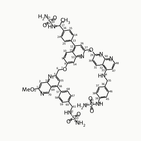 COc1cc2nc(COc3ccc4c(-c5ccc(C(C)NS(N)(=O)=O)cc5)cc(Oc5ccc6c(NCc7ccc(NS(N)(=O)=O)cc7)ccnc6n5)nc4c3)cc(-c3ccc(CNS(N)(=O)=O)cc3)c2cn1